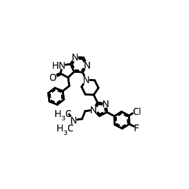 CN(C)CCn1cc(-c2ccc(F)c(Cl)c2)nc1C1CCN(c2ncnc3c2C(Cc2ccccc2)C(=O)N3)CC1